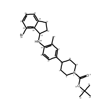 Cc1cc(C2CCN(C(=O)OC(C)(C)C)CC2)ccc1NC1CCc2cccc(Br)c21